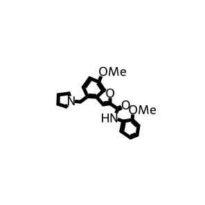 COc1ccccc1NC(=O)c1cc2c(CN3CCCC3)ccc(OC)c2o1